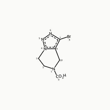 O=C(O)N1CCn2nnc(Br)c2C1